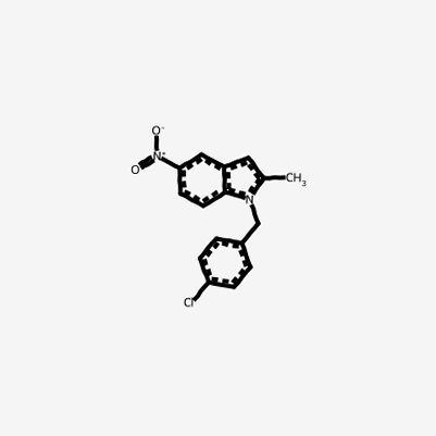 Cc1cc2cc([N+](=O)[O-])ccc2n1Cc1ccc(Cl)cc1